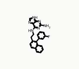 Nc1nc(NCCc2ccc3ccccc3c2-c2cccc(F)c2)c2nc[nH]c2n1